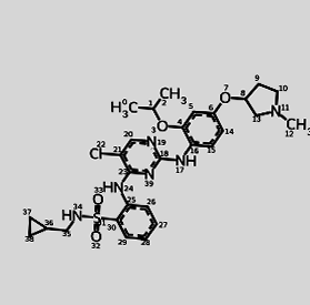 CC(C)Oc1cc(OC2CCN(C)C2)ccc1Nc1ncc(Cl)c(Nc2ccccc2S(=O)(=O)NCC2CC2)n1